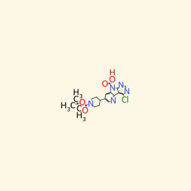 CC(C)(C)OC(=O)N1CCC(c2cnc3c4c(Cl)ncnc4n(C(=O)O)c3c2)CC1